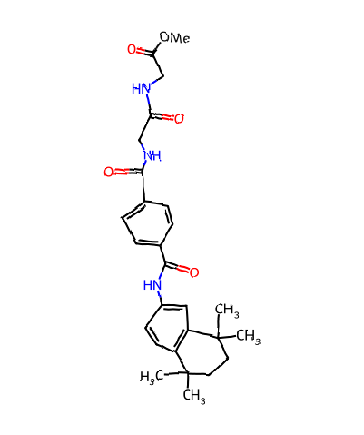 COC(=O)CNC(=O)CNC(=O)c1ccc(C(=O)Nc2ccc3c(c2)C(C)(C)CCC3(C)C)cc1